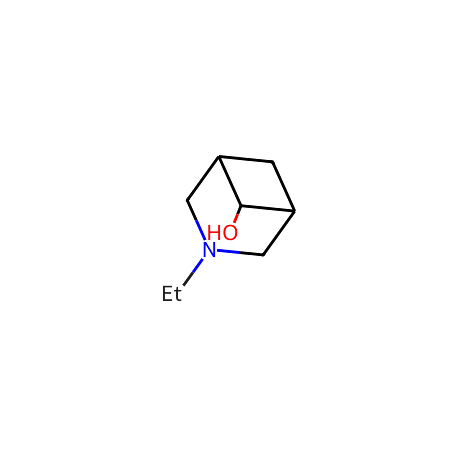 CCN1CC2CC(C1)C2O